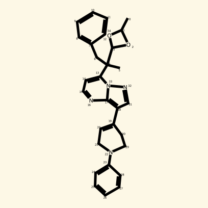 CC1OC(C(C)(Cc2ccccc2)c2ccnc3c(C4=CCN(c5ccccc5)CC4)cnn23)O1